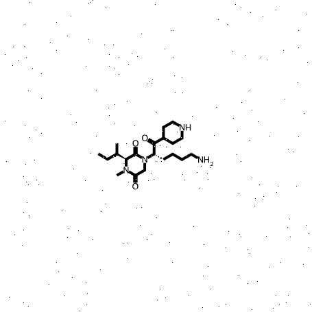 CCC(C)[C@H]1C(=O)N([C@@H](CCCCN)C(=O)C2CCNCC2)CC(=O)N1C